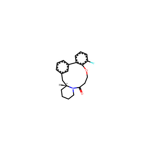 O=C1CCOc2c(F)cccc2-c2cccc(c2)C[C@H]2CCCCN12